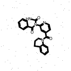 O=C(c1ccnc(-n2c(=O)[nH]c3ccccc3c2=O)c1)N1CCCc2ccccc21